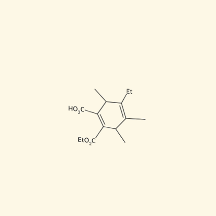 CCOC(=O)C1=C(C(=O)O)C(C)C(CC)=C(C)C1C